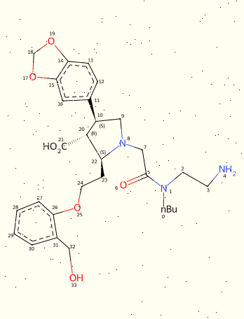 CCCCN(CCN)C(=O)CN1C[C@H](c2ccc3c(c2)OCO3)[C@@H](C(=O)O)[C@@H]1CCOc1ccccc1CO